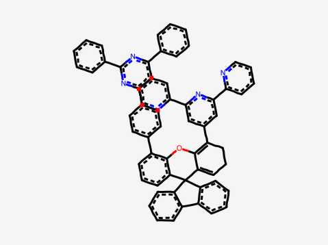 C1=C2C(=C(c3cc(-c4ccccn4)nc(-c4ccccn4)c3)CC1)Oc1c(-c3ccc(-c4cc(-c5ccccc5)nc(-c5ccccc5)n4)cc3)cccc1C21c2ccccc2-c2ccccc21